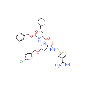 N=C(N)c1csc(CNC(=O)[C@@H]2C[C@@H](OCc3ccc(Cl)cc3)CN2C(=O)[C@@H](CCC2CCCCC2)NC(=O)OCc2ccccc2)c1